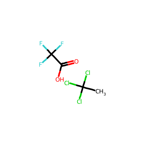 CC(Cl)(Cl)Cl.O=C(O)C(F)(F)F